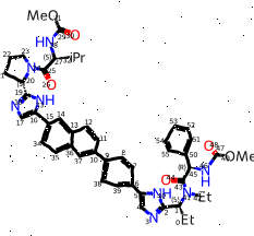 CC[C@@H](c1ncc(-c2ccc(-c3ccc4cc(-c5cnc([C@@H]6CCCN6C(=O)[C@@H](NC(=O)OC)C(C)C)[nH]5)ccc4c3)cc2)[nH]1)N(CC)C(=O)[C@H](NC(=O)OC)c1ccccc1